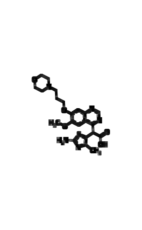 COc1cc2c(C(C(=O)O)c3sc(N)nc3C)ncnc2cc1OCCCN1CCOCC1